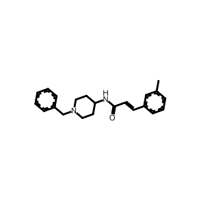 Cc1cccc(C=CC(=O)NC2CCN(Cc3ccccc3)CC2)c1